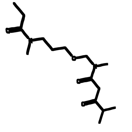 CCC(=O)N(C)CCCOCN(C)C(=O)CC(=O)C(C)C